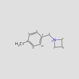 Cc1ccc(CN2CCC2)cc1